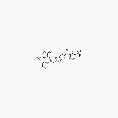 COc1cnc(Cl)cc1-c1cc(C)ncc1C(=O)Nc1nc2c(s1)CN(C(=O)c1nccc(C(F)(F)F)c1F)C2